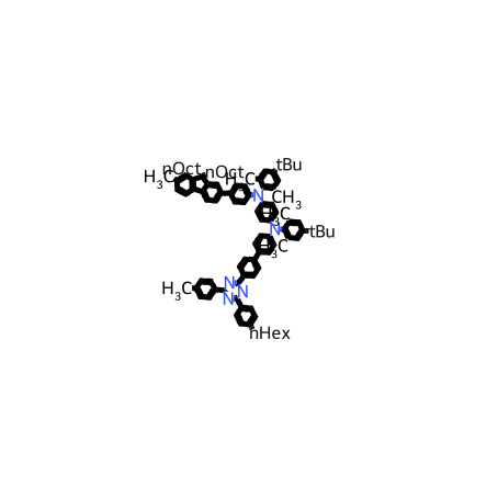 CCCCCCCCC1(CCCCCCCC)c2cc(C)ccc2-c2ccc(-c3ccc(N(c4ccc(N(c5ccc(-c6ccc(-c7nc(-c8ccc(C)cc8)nc(-c8ccc(CCCCCC)cc8)n7)cc6)cc5)c5c(C)cc(C(C)(C)C)cc5C)cc4)c4c(C)cc(C(C)(C)C)cc4C)cc3)cc21